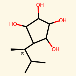 CC(C)[C@@H](C)C1C(O)C(O)C(O)C1O